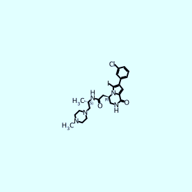 C[C@@H](CN1CCN(C)CC1)NC(=O)C[C@@H]1CNC(=O)c2cc(-c3cccc(Cl)c3)c(I)n21